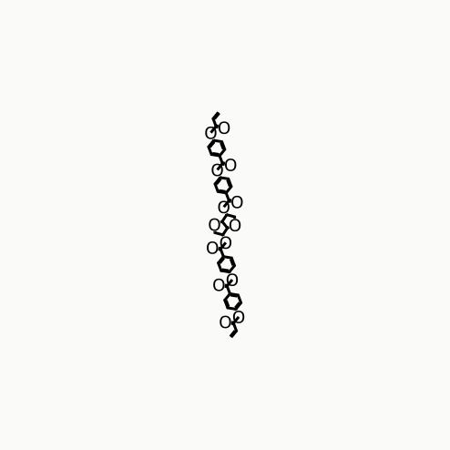 C=CC(=O)Oc1ccc(C(=O)Oc2ccc(C(=O)OC3COC4C(OC(=O)c5ccc(OC(=O)c6ccc(OC(=O)C=C)cc6)cc5)COC34)cc2)cc1